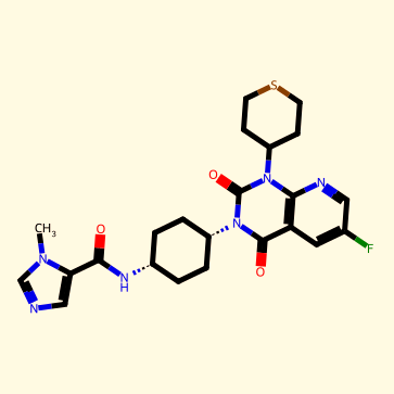 Cn1cncc1C(=O)N[C@H]1CC[C@@H](n2c(=O)c3cc(F)cnc3n(C3CCSCC3)c2=O)CC1